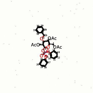 CC(=O)OC[C@H]1O[C@@H](OP(=O)(Oc2ccccc2)Oc2ccccc2)[C@@H](OC(C)=O)[C@@H](OCc2ccccc2)[C@@H]1OC(C)=O